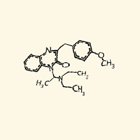 CCN(CC)C(C)n1c(=O)c(Cc2ccc(OC)cc2)nc2ccccc21